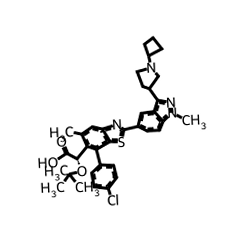 Cc1cc2nc(-c3ccc4c(c3)c(C3CCN(C5CCC5)C3)nn4C)sc2c(-c2ccc(Cl)cc2)c1[C@H](OC(C)(C)C)C(=O)O